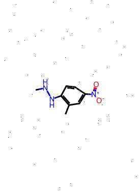 CNNc1ccc([N+](=O)[O-])cc1C